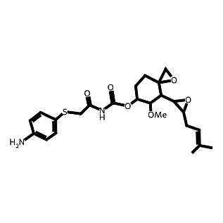 COC1C(OC(=O)NC(=O)CSc2ccc(N)cc2)CCC2(CO2)C1C1OC1CC=C(C)C